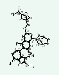 N#Cc1c(N)sc2c(F)ccc(-c3c(C(F)(F)F)cc4c(N5CC6CCC(C5)N6)nc(OCC56COC(C(F)F)(C5)C6)nc4c3F)c12